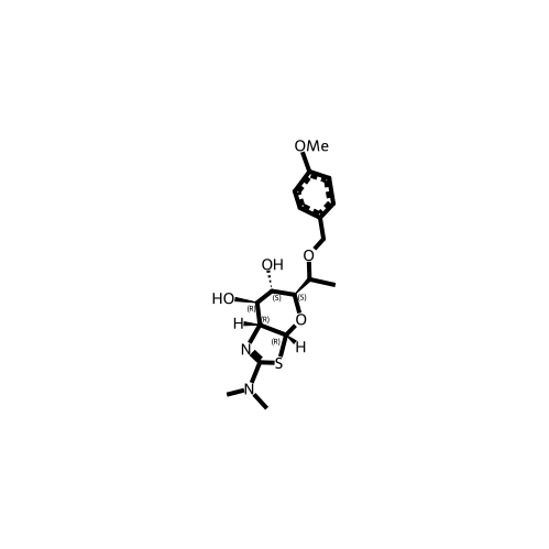 COc1ccc(COC(C)[C@H]2O[C@@H]3SC(N(C)C)=N[C@@H]3[C@@H](O)[C@@H]2O)cc1